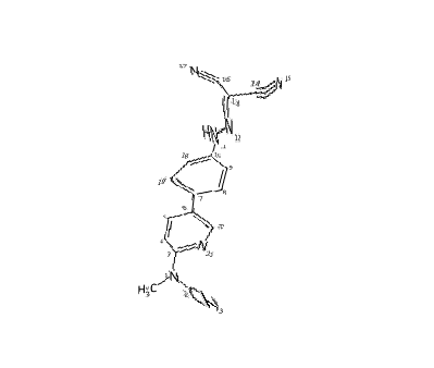 CN(C)c1ccc(-c2ccc(NN=C(C#N)C#N)cc2)cn1